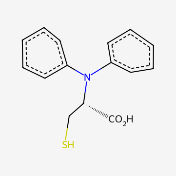 O=C(O)[C@H](CS)N(c1ccccc1)c1ccccc1